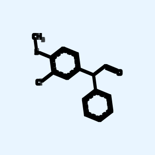 CSc1ccc(C(C=O)c2ccccc2)cc1Cl